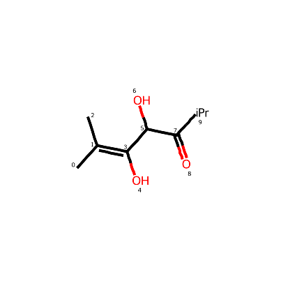 CC(C)=C(O)C(O)C(=O)C(C)C